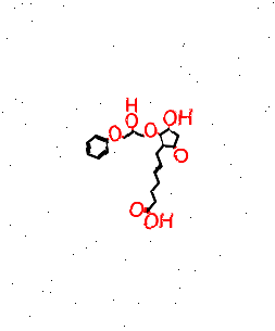 O=C(O)CCCC=CCC1C(=O)CC(O)C1OCC(O)COc1ccccc1